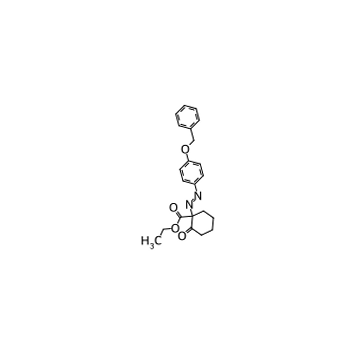 CCOC(=O)C1(N=Nc2ccc(OCc3ccccc3)cc2)CCCCC1=O